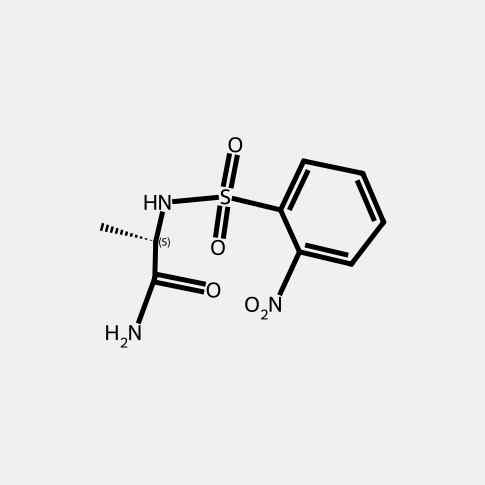 C[C@H](NS(=O)(=O)c1ccccc1[N+](=O)[O-])C(N)=O